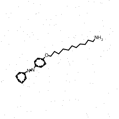 NCCCCCCCCCCCOc1ccc(/N=N/c2ccccc2)cc1